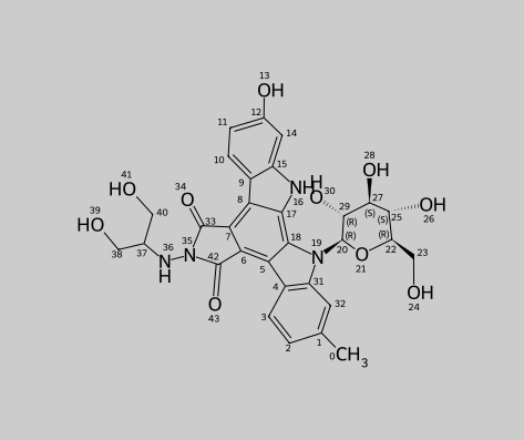 Cc1ccc2c3c4c(c5c6ccc(O)cc6[nH]c5c3n([C@@H]3O[C@H](CO)[C@@H](O)[C@H](O)[C@H]3O)c2c1)C(=O)N(NC(CO)CO)C4=O